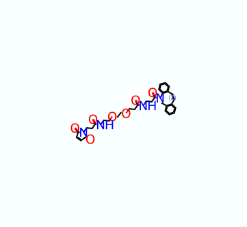 O=C(CCOCCOCCNC(=O)CCN1C(=O)C=CC1=O)NCCC(=O)N1Cc2ccccc2/C=C\c2ccccc21